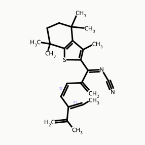 C=C(/C=C\C(=C/C)C(=C)C)C(=NC#N)c1sc2c(c1C)C(C)(C)CCC2(C)C